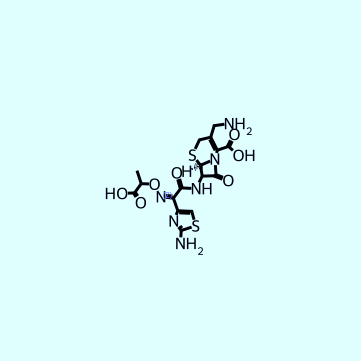 CC(O/N=C(\C(=O)NC1C(=O)N2C(C(=O)O)=C(CN)CS[C@H]12)c1csc(N)n1)C(=O)O